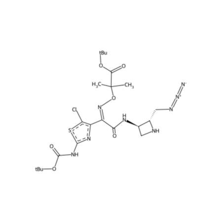 CC(C)(C)OC(=O)Nc1nc(/C(=N/OC(C)(C)C(=O)OC(C)(C)C)C(=O)N[C@@H]2CN[C@H]2CN=[N+]=[N-])c(Cl)s1